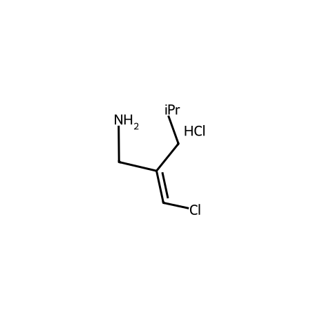 CC(C)C/C(=C\Cl)CN.Cl